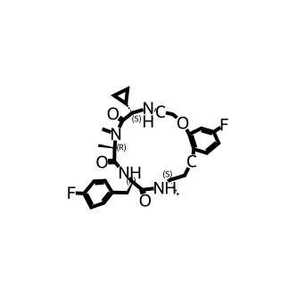 C[C@@H]1C(=O)N[C@H](Cc2ccc(F)cc2)C(=O)N[C@@H](C)CCc2ccc(F)cc2OCCN[C@@H](C2CC2)C(=O)N1C